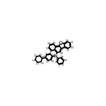 c1ccc(N(c2ccc(C3CCCCC3)cc2)c2cc3c4ccccc4oc3c3ccccc23)cc1